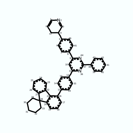 C1=CN=CC(c2ccc(-c3cc(-c4ccc(-c5cccc6c5-c5ccccc5C65CCCCC5)cc4)nc(-c4ccccc4)n3)cc2)C1